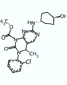 COC(=O)N1C(=O)N(c2ccccc2Cl)C(C)c2cnc(N[C@H]3CC[C@H](O)CC3)nc21